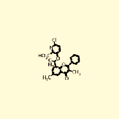 Cc1cc([C@@H](C)Oc2ccc(Cl)nc2C(=O)O)c2oc(-c3ccccc3)c(C)c(=O)c2c1